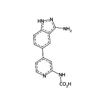 Nc1n[nH]c2ccc(-c3ccnc(NC(=O)O)c3)cc12